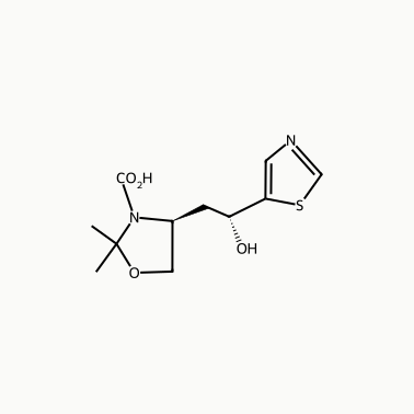 CC1(C)OC[C@H](C[C@@H](O)c2cncs2)N1C(=O)O